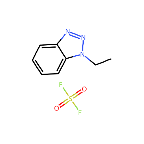 CCn1nnc2ccccc21.O=S(=O)(F)F